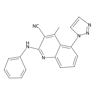 Cc1c(C#N)c(Nc2ccccc2)nc2cccc(-n3ccnn3)c12